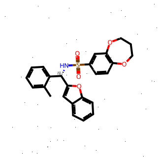 Cc1ccccc1[C@H](NS(=O)(=O)c1ccc2c(c1)OCCCO2)c1cc2ccccc2o1